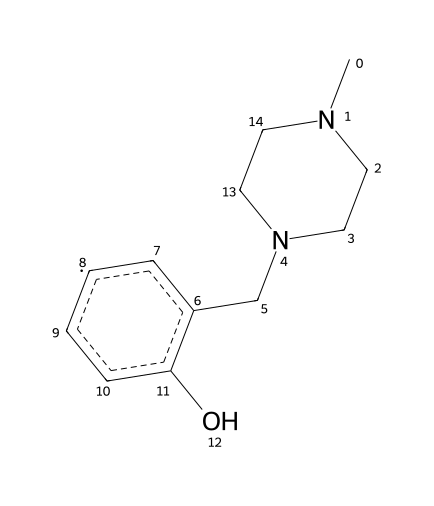 CN1CCN(Cc2c[c]ccc2O)CC1